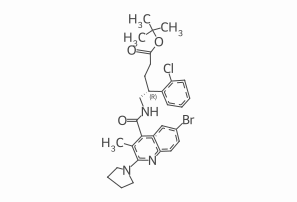 Cc1c(N2CCCC2)nc2ccc(Br)cc2c1C(=O)NC[C@H](CCC(=O)OC(C)(C)C)c1ccccc1Cl